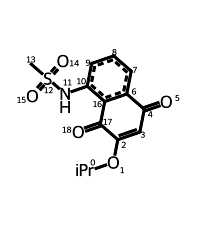 CC(C)OC1=CC(=O)c2cccc(NS(C)(=O)=O)c2C1=O